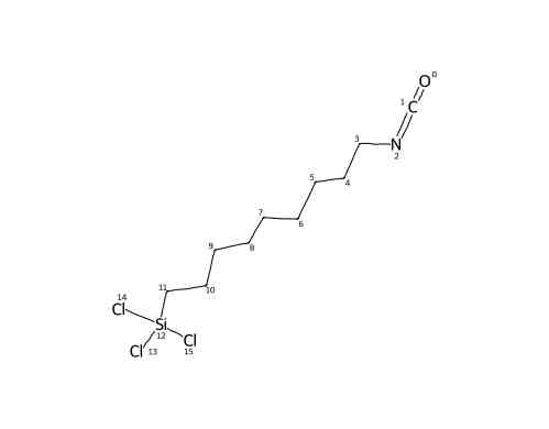 O=C=NCCCCCCCCC[Si](Cl)(Cl)Cl